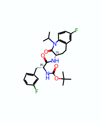 CC(C)N1C(=O)[C@@H](NC(=O)[C@@H](Cc2cccc(F)c2)NC(=O)OC(C)(C)C)CCc2cc(F)ccc21